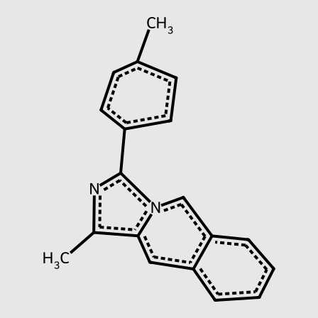 Cc1ccc(-c2nc(C)c3cc4ccccc4cn23)cc1